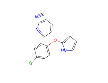 C#N.Clc1ccc(Oc2ccc[nH]2)cc1.c1ccncc1